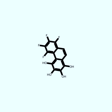 Oc1c(O)c(O)c2c(ccc3c(F)c(F)c(F)c(F)c32)c1O